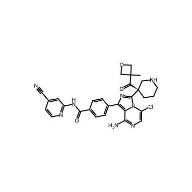 CC1(C(=O)[C@]2(c3nc(-c4ccc(C(=O)Nc5cc(C#N)ccn5)cc4)c4c(N)ncc(Cl)n34)CCCNC2)COC1